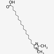 Cc1nc(CCCCCCCCCCCCCCCCC(=O)O)cn1C